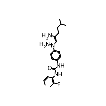 C/C=C\C(NC(=O)Nc1ccc(N(N)/C=C(\N)CCC(C)C)cc1)=C(/C)F